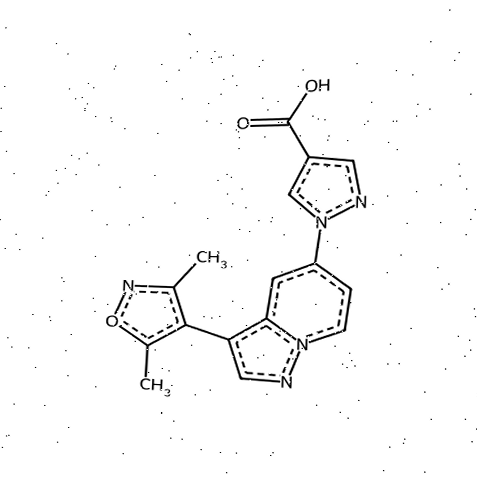 Cc1noc(C)c1-c1cnn2ccc(-n3cc(C(=O)O)cn3)cc12